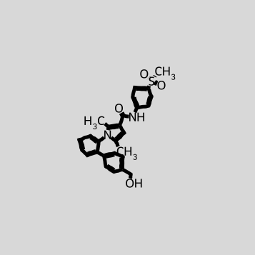 Cc1cc(C(=O)Nc2ccc(S(C)(=O)=O)cc2)c(C)n1-c1ccccc1-c1ccc(CO)cc1